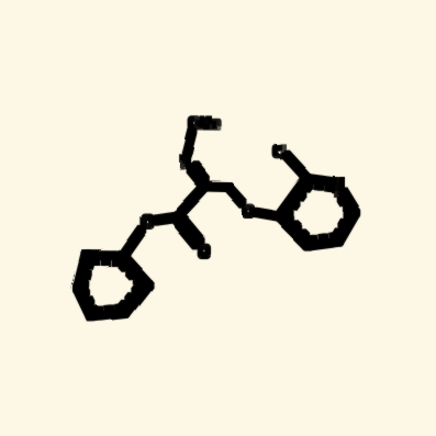 CO/N=C(\COc1cccnc1Cl)C(=O)Oc1ccccc1